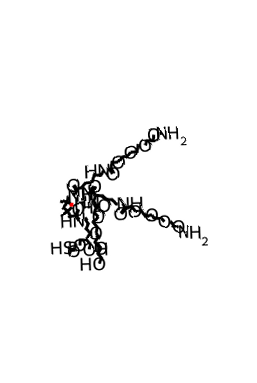 CC(C)(CNC(=O)C(CCCCNC(=O)COCCOCCOCCON)NC(=O)C(CCCCNC(=O)COCCOCCOCCON)NC(=O)COCCOCCOCCO)CC(C)(C)CC(=O)NCCCCC(CO)COP(C)(=O)S